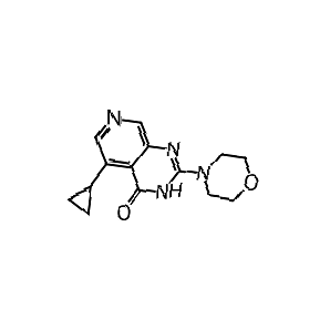 O=c1[nH]c(N2CCOCC2)nc2cncc(C3CC3)c12